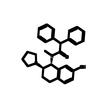 CN(C(=O)C(c1ccccc1)c1ccccc1)[C@@H]1c2cc(O)ccc2CC[C@H]1N1CCCC1